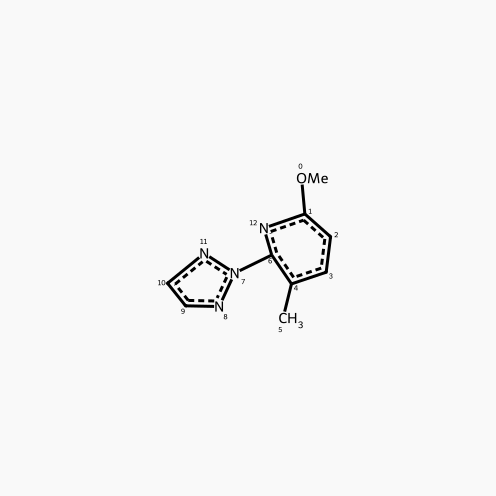 COc1ccc(C)c(-n2nccn2)n1